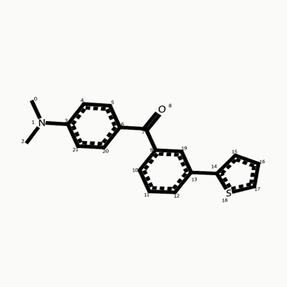 CN(C)c1ccc(C(=O)c2cccc(-c3cccs3)c2)cc1